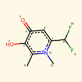 Cc1c(O)c(=O)cc(C(F)F)n1C